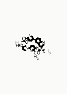 Cc1nc(N2CC[C@H](O)C2)ccc1-n1c(=O)n(C)c2cnc3ccc(-c4cncc(OC(C)C)c4)cc3c21